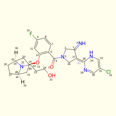 N=C1CN(C(=O)c2ccc(F)cc2O[C@H]2C[C@H]3CC[C@@H](C2)N3CCCO)C/C1=C1\N=CC(Cl)=CN1